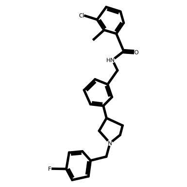 Cc1c(Cl)cccc1C(=O)NCc1cccc(C2CCN(Cc3ccc(F)cc3)C2)c1